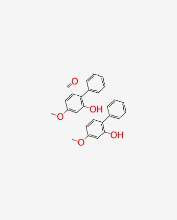 C=O.COc1ccc(-c2ccccc2)c(O)c1.COc1ccc(-c2ccccc2)c(O)c1